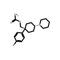 CC(=O)OC[C@]1(c2ccc(F)cc2)CC[C@@H](N2CCCCC2)CC1